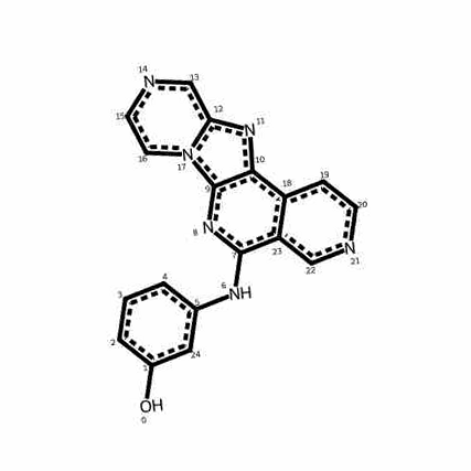 Oc1cccc(Nc2nc3c(nc4cnccn43)c3ccncc23)c1